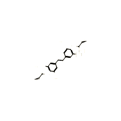 CCc1cc(CCc2cc(CC)c(OC(CC)C3CO3)c(CC)c2)cc(CC)c1OC(CC)C1CO1